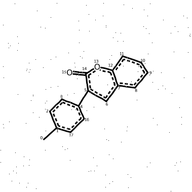 Cc1ccc(-c2cc3ccccc3oc2=O)cc1